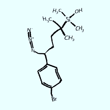 CC(C)(CC[C@H](N=[N+]=[N-])c1ccc(Br)cc1)[Si](C)(C)O